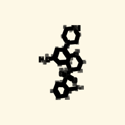 Cc1cc(N2CCNCC2)c2c(c1)N(S(=O)(=O)c1ccccc1F)CCO2